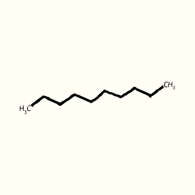 C[CH]CCCCCCCC